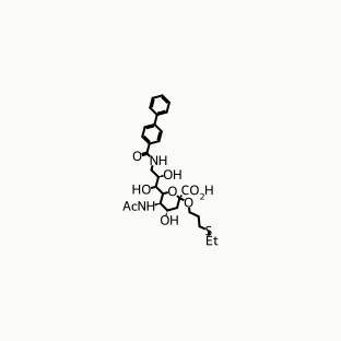 CCSCCCO[C@]1(C(=O)O)C[C@H](O)[C@@H](NC(C)=O)C(C(O)[C@H](O)CNC(=O)c2ccc(-c3ccccc3)cc2)O1